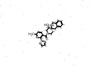 Cc1ccc(C(=O)N2CC[C@]3(Cc4ccccc4CN3)[C@H](O)C2)c(-n2nccn2)n1